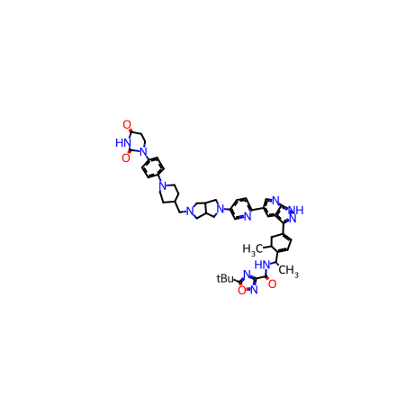 CC1CC(c2n[nH]c3ncc(-c4ccc(N5CC6CN(CC7CCN(c8ccc(N9CCC(=O)NC9=O)cc8)CC7)CC6C5)cn4)cc23)=CC=C1[C@@H](C)NC(=O)c1noc(C(C)(C)C)n1